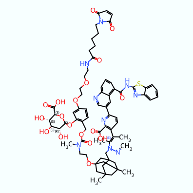 C=NN(CC12CC3(C)CC(C)(C1)CC(OCCN(C)C(=O)OCc1ccc(OCCOCCNC(=O)CCCCCN4C(=O)C=CC4=O)cc1O[C@@H]1O[C@H](C(=O)O)[C@@H](O)[C@H](O)[C@H]1O)(C3)C2)/C(C)=C(\C)c1ccc(-c2cnc3cccc(C(=O)Nc4nc5ccccc5s4)c3c2)nc1C(=O)O